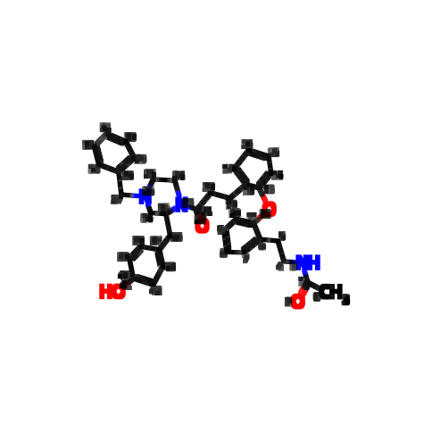 CC(=O)NCCc1ccccc1Oc1ccccc1CCC(=O)N1CCN(Cc2ccccc2)CC1Cc1ccc(O)cc1